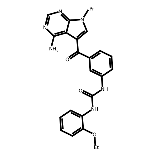 CCOc1ccccc1NC(=O)Nc1cccc(C(=O)c2cn(C(C)C)c3ncnc(N)c23)c1